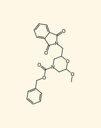 COC1CN(C(=O)OCc2ccccc2)CC(CN2C(=O)c3ccccc3C2=O)O1